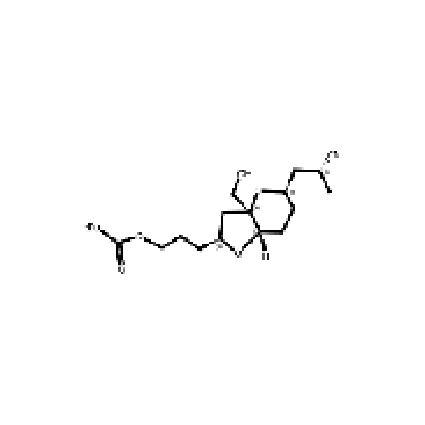 C[C@@H](C#N)C[C@H]1CC[C@@H]2O[C@@H](CCCOC(=O)C(C)(C)C)C[C@]2(CO)O1